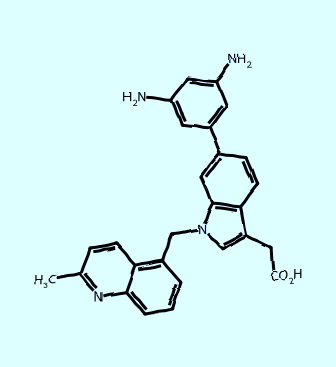 Cc1ccc2c(Cn3cc(CC(=O)O)c4ccc(-c5cc(N)cc(N)c5)cc43)cccc2n1